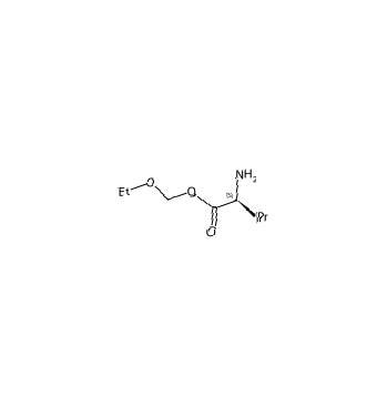 CCOCOC(=O)[C@@H](N)C(C)C